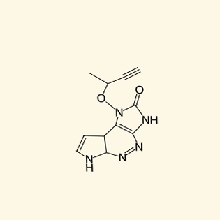 C#CC(C)On1c2c([nH]c1=O)N=NC1NC=CC21